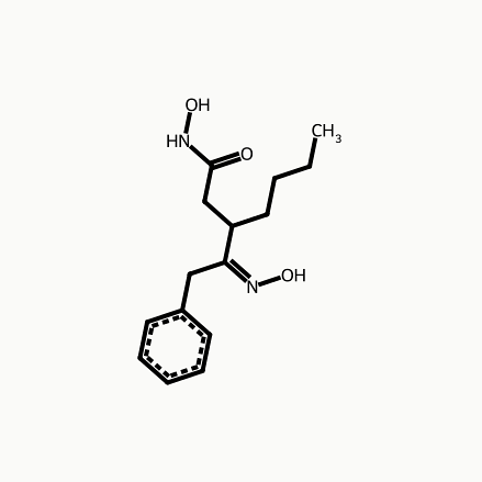 CCCCC(CC(=O)NO)C(Cc1ccccc1)=NO